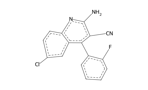 N#Cc1c(N)nc2ccc(Cl)cc2c1-c1ccccc1F